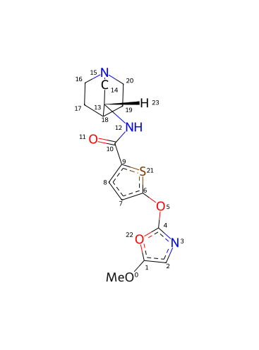 COc1cnc(Oc2ccc(C(=O)N[C@H]3CN4CCC3CC4)s2)o1